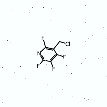 Fc1nc(F)c(CCl)c(F)c1F